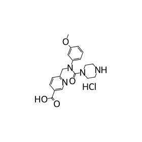 COc1cccc(N(Cc2ccc(C(=O)O)cn2)C(=O)N2CCNCC2)c1.Cl